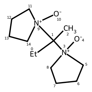 CCC(C)([N+]1([O-])CCCC1)[N+]1([O-])CCCC1